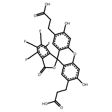 O=C(O)CCc1cc2c(cc1O)Oc1cc(O)c(CCC(=O)O)cc1C21OC(=O)c2c(F)c(F)c(F)c(F)c21